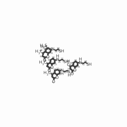 Cc1cc(=O)oc2cc(NCCS)ccc12.Cc1cc(=O)oc2cc(NCCS)ccc12.Cc1cc(=O)oc2cc(NCCS)ccc12.Cc1cc(=O)oc2cc(NCCS)ccc12.S.S